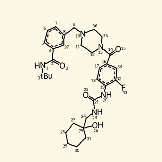 CC(C)(C)NC(=O)c1cccc(CN2CCN(C(=O)c3ccc(NC(=O)NCC4(O)CCCCC4)c(F)c3)CC2)c1